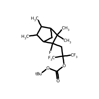 CC1C(C)C2CC1C(C)(C)C2(F)CC(OC(=O)OC(C)(C)C)(C(F)(F)F)C(F)(F)F